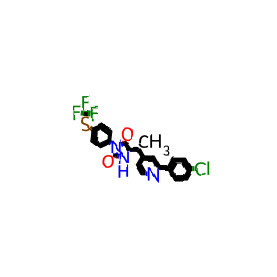 CC(c1ccnc(-c2ccc(Cl)cc2)c1)C1NC(=O)N(c2ccc(SC(F)(F)F)cc2)C1=O